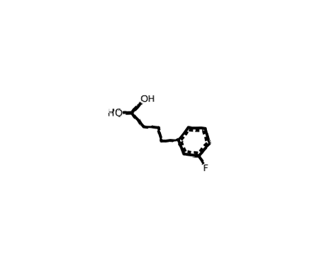 OC(O)CCCc1cccc(F)c1